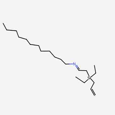 C=CC[Si](CC)(CC)CC=NCCCCCCCCCCCC